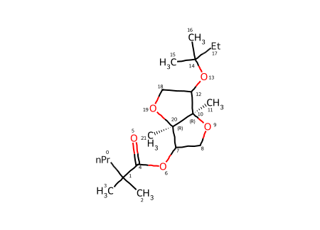 CCCC(C)(C)C(=O)OC1CO[C@]2(C)C(OC(C)(C)CC)CO[C@]12C